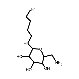 CC(C)CCCCNC1OC(CN)C(O)C(O)C1O